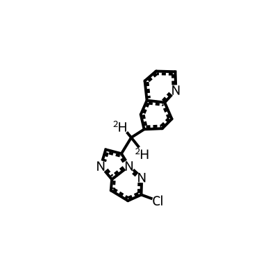 [2H]C([2H])(c1ccc2ncccc2c1)c1cnc2ccc(Cl)nn12